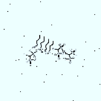 CCC[CH2][Sn+3].CCC[CH2][Sn+3].CCC[CH2][Sn+3].CCC[CH2][Sn+3].O=P([O-])([O-])C(Cl)P(=O)([O-])[O-].O=P([O-])([O-])C(Cl)P(=O)([O-])[O-].O=P([O-])([O-])C(Cl)P(=O)([O-])[O-]